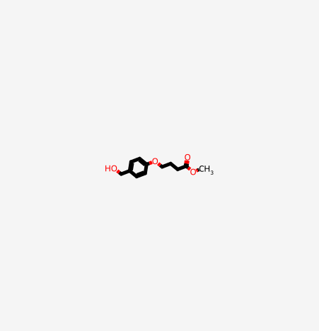 COC(=O)CCCOc1ccc(CO)cc1